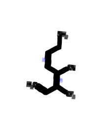 C=C/C(=C(C#N)\C=C/CN)C(F)(F)F